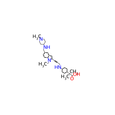 CCn1c(C#CCNc2ccc(C(C)(C)C(=O)O)cc2)cc2cc(CNC3CCN(C)CC3)ccc21